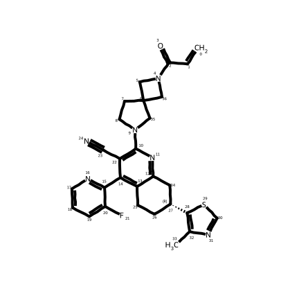 C=CC(=O)N1CC2(CCN(c3nc4c(c(-c5ncccc5F)c3C#N)CC[C@@H](c3scnc3C)C4)C2)C1